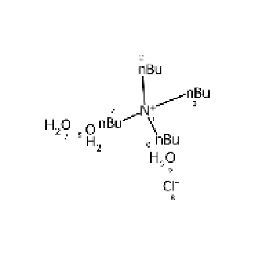 CCCC[N+](CCCC)(CCCC)CCCC.O.O.O.[Cl-]